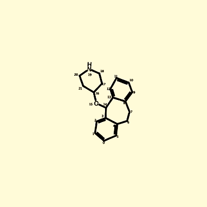 c1ccc2c(c1)CCc1ccccc1C2OC1CCNCC1